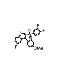 COc1ccc(-c2c(S(=O)(=O)c3ccc(F)c(F)c3)cnc3ccc(F)cc23)cc1